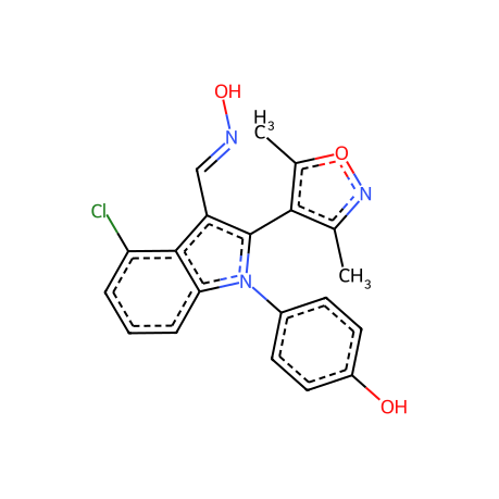 Cc1noc(C)c1-c1c(C=NO)c2c(Cl)cccc2n1-c1ccc(O)cc1